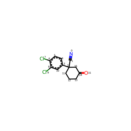 N#CC1(c2ccc(Cl)c(Cl)c2)CCCC(=O)C1